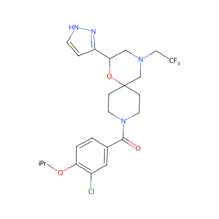 CC(C)Oc1ccc(C(=O)N2CCC3(CC2)CN(CC(F)(F)F)CC(c2cc[nH]n2)O3)cc1Cl